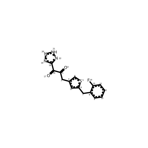 O=C(Cc1csc(Cc2ccccc2F)c1)C(=O)c1nn[nH]n1